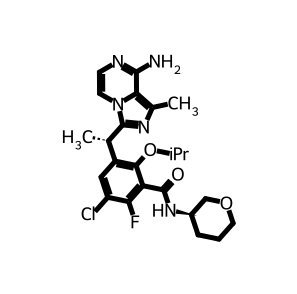 Cc1nc([C@@H](C)c2cc(Cl)c(F)c(C(=O)N[C@@H]3CCCOC3)c2OC(C)C)n2ccnc(N)c12